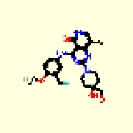 COc1ccc(Nc2nc(N3CCC(O)(CO)CC3)nc3c(Br)c[nH]c(=O)c23)cc1CF